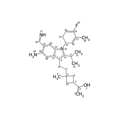 C=C(O)C1CC(C)(CCc2c(C(C)C)n(C3C=C(C)C(F)=CC3)c3cc(C=N)c(N)cc23)C1